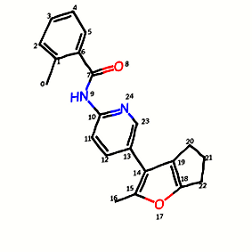 Cc1ccccc1C(=O)Nc1ccc(-c2c(C)oc3c2CCC3)cn1